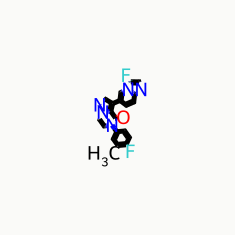 Cc1cc(N2CCn3ncc(-c4ccc5ncc(F)n5c4)c3C2=O)ccc1F